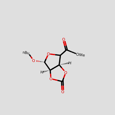 CCCCO[C@@H]1OC(C(=O)OC)[C@H]2OC(=O)O[C@@H]12